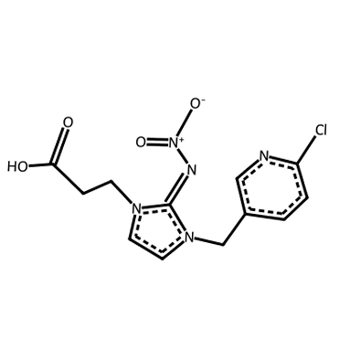 O=C(O)CCn1ccn(Cc2ccc(Cl)nc2)c1=N[N+](=O)[O-]